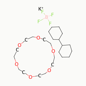 C1CCC(C2CCCCC2)CC1.C1COCCOCCOCCOCCOCCO1.F[B-](F)(F)F.[K+]